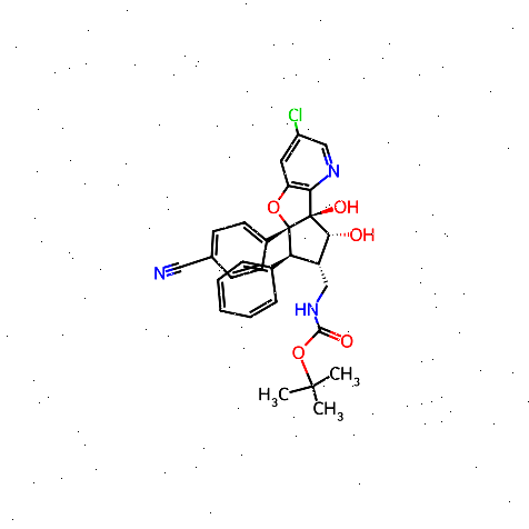 CC(C)(C)OC(=O)NC[C@H]1[C@@H](O)[C@@]2(O)c3ncc(Cl)cc3O[C@@]2(c2ccc(C#N)cc2)[C@@H]1c1ccccc1